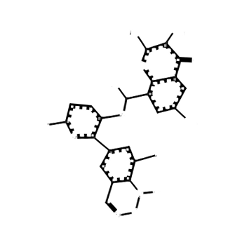 Cc1cc(C(C)Nc2ccc(Cl)nc2-c2cc(F)c3c(c2)C=NOB3O)c2oc(C(C)C)c(C)c(=O)c2c1